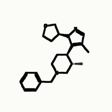 Cc1cnn([C@H]2CCOC2)c1[C@@H]1CCN(Cc2ccccc2)C[C@H]1C